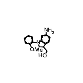 COc1ccccc1N1CC(CO)c2ccc(N)cc21